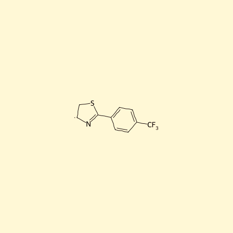 FC(F)(F)c1ccc(C2=N[CH]CS2)cc1